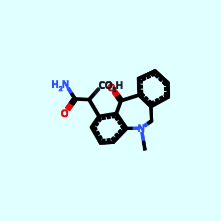 CN1Cc2ccccc2C(=O)c2c(C(C(N)=O)C(=O)O)cccc21